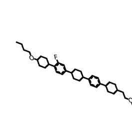 CCCCOC1CCC(c2ccc(C3CCC(c4ccc(C5CCC(CCOC)CC5)cc4)CC3)cc2F)CC1